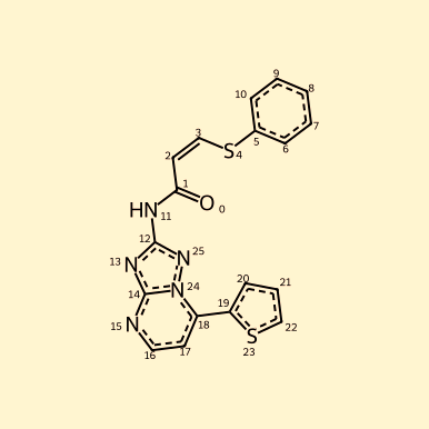 O=C(/C=C\Sc1ccccc1)Nc1nc2nccc(-c3cccs3)n2n1